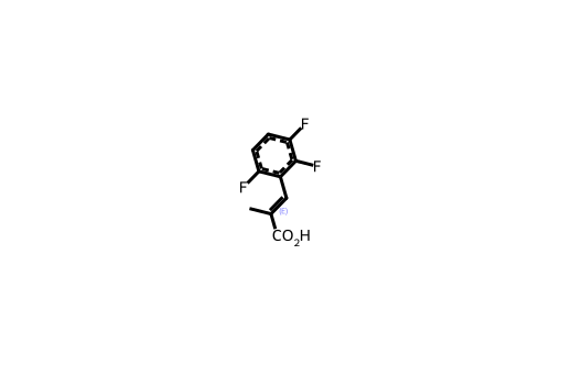 C/C(=C\c1c(F)ccc(F)c1F)C(=O)O